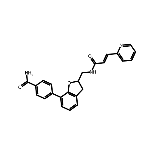 NC(=O)c1ccc(-c2cccc3c2OC(CNC(=O)C=Cc2ccccn2)C3)cc1